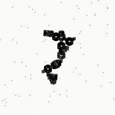 Cc1cccc(C2COc3cc(O)ccc3C2c2ccc(N3CCC(CN4CCN(c5ccc(C)c(CNC=O)c5)CC4)CC3)c(F)c2)c1